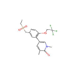 CCS(=O)(=O)Cc1ccc(OCC(F)(F)F)c(-c2cc(C)c(=O)n(C)c2)c1